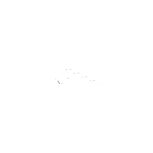 CNC(=N)S[C@@H]1CC(O)[C@H](O)C(CNCCCO)O1